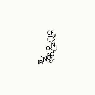 CC(C)N(C)/[N+]([O-])=N/O[C@@H]1CCN(C2=CC=C(C(F)(F)F)CC2)C1=O